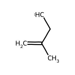 [CH]CC(=C)C